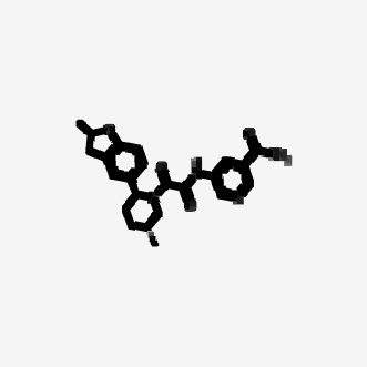 CC1Cc2cc([C@@H]3CC[C@@H](C)CN3C(=O)C(=O)Nc3cncc(C(N)=O)c3)ccc2O1